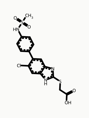 CS(=O)(=O)Nc1ccc(-c2cc3nc(SCC(=O)O)[nH]c3cc2Cl)cc1